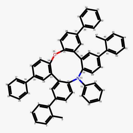 Cc1ccccc1-c1ccc2c(c1)-c1cc(-c3ccccc3)ccc1Oc1ccc(-c3ccccc3)cc1-c1cc(-c3ccccc3C)ccc1N2c1ccccc1